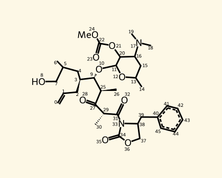 C=CC[C@@H](CC(C)CO)[C@H](OC1OC(C)CC(N(C)C)C1OC(=O)OC)[C@@H](C)C(=O)[C@@H](C)C(=O)N1C(=O)OCC1Cc1ccccc1